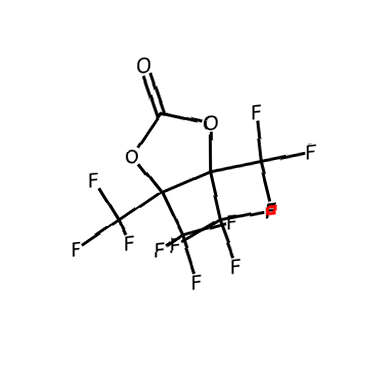 O=C1OC(C(F)(F)F)(C(F)(F)F)C(C(F)(F)F)(C(F)(F)F)O1